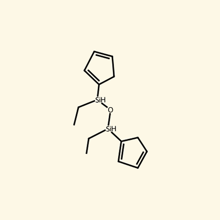 CC[SiH](O[SiH](CC)C1=CC=CC1)C1=CC=CC1